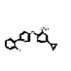 CCOC(=O)c1cc(C2CC2)ccc1Nc1ccc(-c2ccccc2Cl)nc1